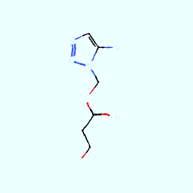 Nc1cnnn1COC(O)CCO